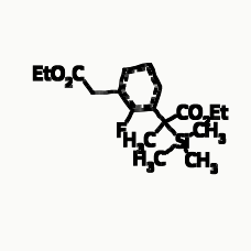 CCOC(=O)Cc1cccc(C(C)(C(=O)OCC)[Si](C)(C)C)c1F